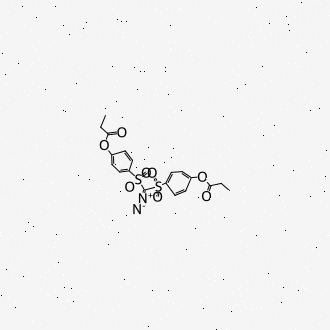 CCC(=O)Oc1ccc(S(=O)(=O)C(=[N+]=[N-])S(=O)(=O)c2ccc(OC(=O)CC)cc2)cc1